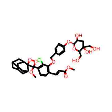 COC(=O)/C=C/c1ccc(C2(OC)OOC23C2CC4CC(C2)CC3C4)c(Cl)c1OCc1ccc(O[C@@H]2OC(CO)C(O)(CO)CC2O)cc1